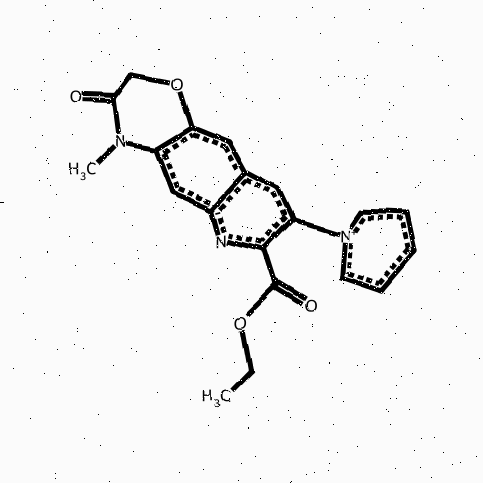 CCOC(=O)c1nc2cc3c(cc2cc1-[n+]1ccccc1)OCC(=O)N3C